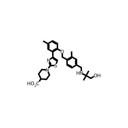 Cc1ccc(OCc2ccc(CNC(C)(C)CO)cc2C)c(-c2csc(N3CCC(C(=O)O)CC3)n2)c1